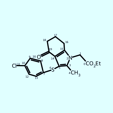 CCOC(=O)Cn1c(C)c(Sc2ccc(Cl)cc2)c2c1CCCC2=O